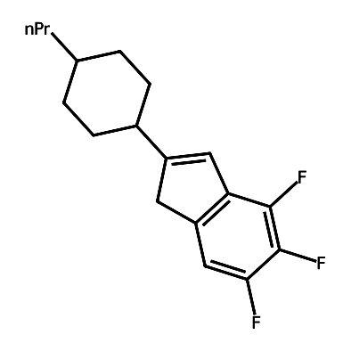 CCCC1CCC(C2=Cc3c(cc(F)c(F)c3F)C2)CC1